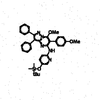 COc1ccc(-c2c(Nc3ccc(O[Si](C)(C)C(C)(C)C)cn3)nc3c(-c4ccccc4)c(-c4ccccc4)nn3c2OC)cc1